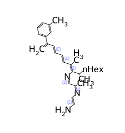 C=C(/C=C/C=C/C(C)=C(\N=C/C(C)=N\C=C\N)C(C)CCCCCC)c1cccc(C)c1